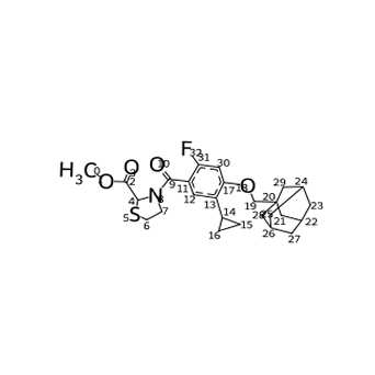 COC(=O)C1SCCN1C(=O)c1cc(C2CC2)c(OCC23CC4CC(CC(C4)C2)C3)cc1F